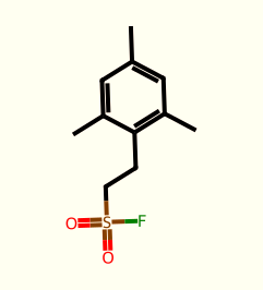 Cc1cc(C)c(CCS(=O)(=O)F)c(C)c1